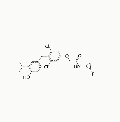 CC(C)c1cc(Cc2c(Cl)cc(OCC(=O)NC3CC3F)cc2Cl)ccc1O